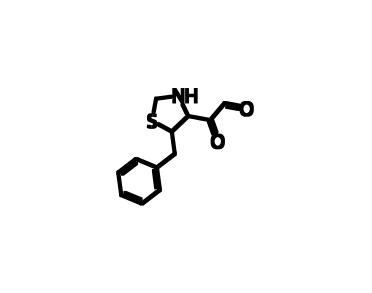 O=CC(=O)C1NCSC1Cc1ccccc1